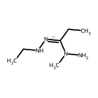 CCN/N=C(/CC)N(C)N